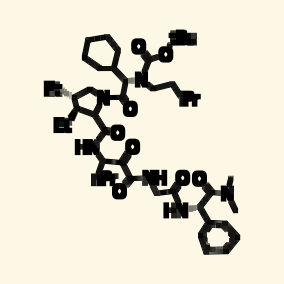 CCCC(NC(=O)C1[C@@H](CC)[C@H](CC)CN1C(=O)[C@H](C1CCCCC1)N(CCC(C)C)C(=O)OC(C)(C)C)C(=O)C(=O)NCC(=O)N[C@H](C(=O)N(C)C)c1ccccc1